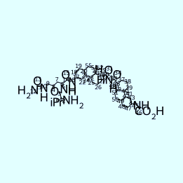 CC(C)C(N)C(=O)NC(CCCNC(N)=O)C(=O)Nc1ccc2c(c1)[C@@]1(C)CCC[C@](C)(C(=O)NC(=O)[C@@]3(C)CCC[C@]4(C)c5cc(NC(=O)O)ccc5CC[C@@H]34)[C@@H]1CC2